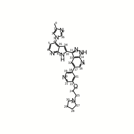 Cc1cn(-c2ccnc3[nH]c(-c4n[nH]c5ncc(-c6cncc(OCCN7CCCC7)c6)cc45)cc23)cn1